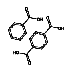 O=C(O)c1ccc(C(=O)O)cc1.O=C(O)c1ccccc1